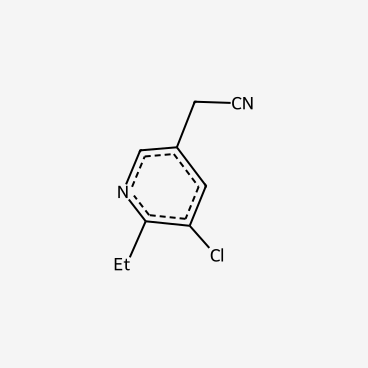 CCc1ncc(CC#N)cc1Cl